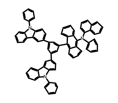 c1ccc(N(c2cccc3ccccc23)c2c3ccccc3c(-c3cc(-c4ccc5c(c4)c4ccccc4n5-c4ccccc4)cc(-c4ccc5c(c4)c4ccccc4n5-c4ccccc4)c3)c3ccccc23)cc1